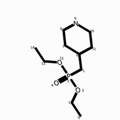 CCOP(=O)(CC1CC[N]CC1)OCC